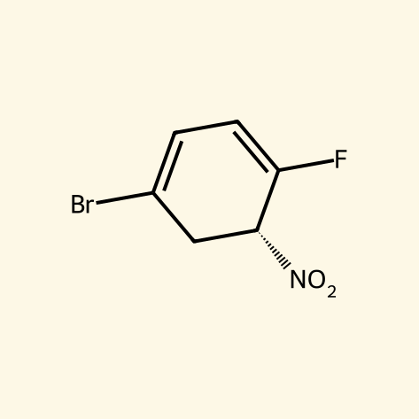 O=[N+]([O-])[C@@H]1CC(Br)=CC=C1F